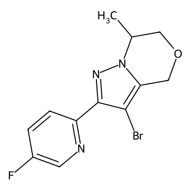 CC1COCc2c(Br)c(-c3ccc(F)cn3)nn21